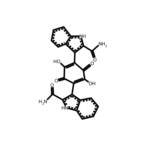 NC(=O)c1[nH]c2ccccc2c1C1=C(O)C(=O)C(c2c(C(N)=O)[nH]c3ccccc23)=C(O)C1=O